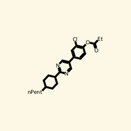 CCCCCC1CCC(c2ncc(-c3ccc(OC(=O)CC)c(Cl)c3)cn2)CC1